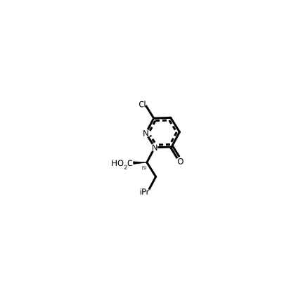 CC(C)C[C@@H](C(=O)O)n1nc(Cl)ccc1=O